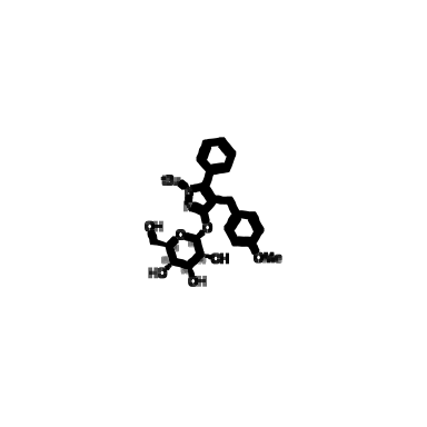 COc1ccc(Cc2c(O[C@@H]3O[C@H](CO)[C@@H](O)[C@H](O)[C@H]3O)nn(C(C)(C)C)c2-c2ccccc2)cc1